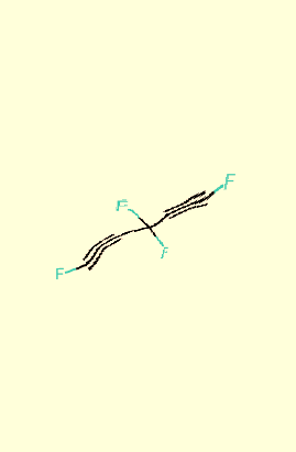 FC#CC(F)(F)C#CF